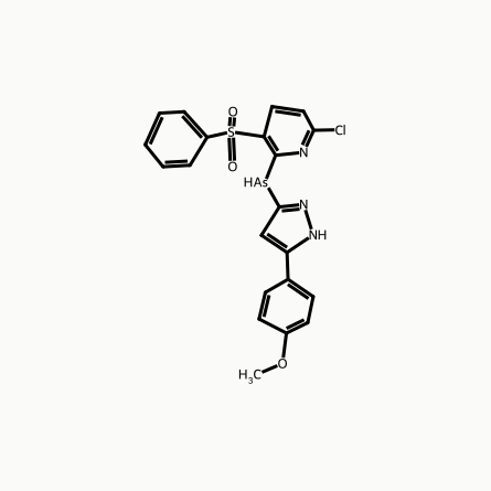 COc1ccc(-c2cc([AsH]c3nc(Cl)ccc3S(=O)(=O)c3ccccc3)n[nH]2)cc1